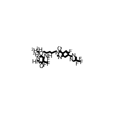 [2H]C([2H])([2H])OCC(CCCn1cnc2cc(-c3ncc(C(F)(F)F)cn3)c(F)cc2c1=O)Nc1cn[nH]c(=O)c1C(F)(F)F